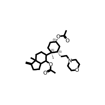 C=C1CCC2C(OC(C)=O)C([C@@]3(C)CC[C@H](OC(C)=O)C[C@@H]3CCN3CCOCC3)CCC12C